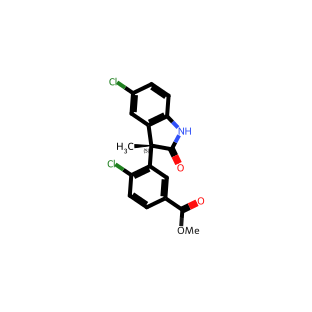 COC(=O)c1ccc(Cl)c([C@@]2(C)C(=O)Nc3ccc(Cl)cc32)c1